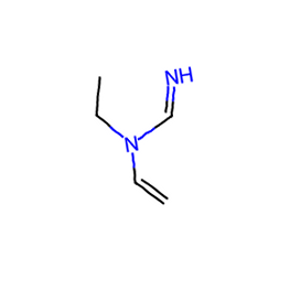 C=CN(C=N)CC